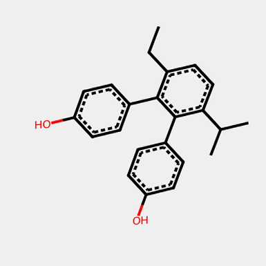 CCc1ccc(C(C)C)c(-c2ccc(O)cc2)c1-c1ccc(O)cc1